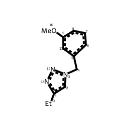 [CH2]Cc1cn(Cc2cccc(OC)c2)nn1